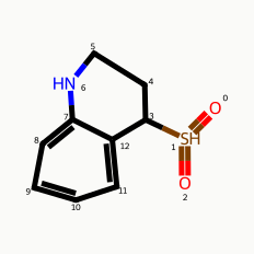 O=[SH](=O)C1CCNc2ccccc21